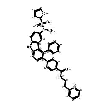 CN(c1ccc2[nH]c3ncc(-c4ccc(C(=O)NCCc5ccccn5)cc4)c(-c4ccccc4)c3c2c1)S(=O)(=O)C1CC=CO1